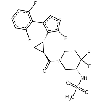 CS(=O)(=O)N[C@@H]1CN(C(=O)[C@H]2C[C@@H]2c2c(-c3c(F)cccc3F)csc2F)CCC1(F)F